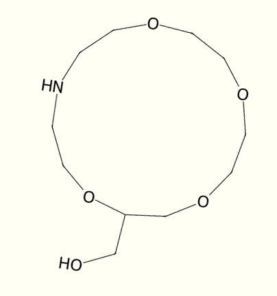 OCC1COCCOCCOCCNCCO1